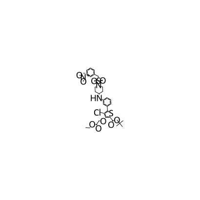 CCOC(=O)COc1c(C(=O)OC(C)(C)C)sc(-c2cccc(NC3CCN(S(=O)(=O)Cc4cccc([N+](=O)[O-])c4)CC3)c2)c1Cl